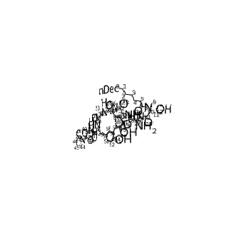 CCCCCCCCCCCCCCCC(=O)N(C)[C@H](CO)C(=O)N[C@H](N)C(=O)NCC(=O)N(C)[C@@H]1C(=O)N[C@@H](C)C(=O)N[C@H](C(=O)N[C@@H](C)C(=O)N2CCCC2C(=O)O)Cc2ccc(O)c(c2)-c2cc1ccc2O